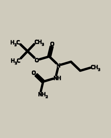 CCCN(NC(N)=O)C(=O)OC(C)(C)C